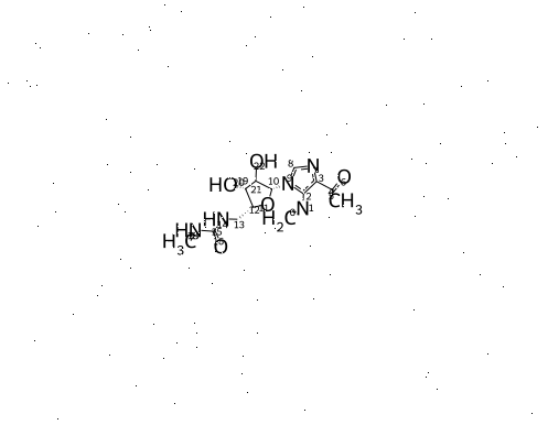 C=Nc1c(C(C)=O)ncn1[C@@H]1O[C@H](CNC(=O)NC)[C@H](O)C1O